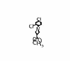 COC(=O)C1CN(c2ccc(Cl)cc2Cl)C1